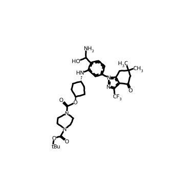 CC1(C)CC(=O)c2c(C(F)(F)F)nn(-c3ccc(C(N)O)c(N[C@H]4CC[C@H](OC(=O)N5CCN(C(=O)OC(C)(C)C)CC5)CC4)c3)c2C1